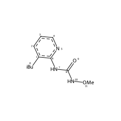 CCC(C)c1cccnc1NC(=O)NOC